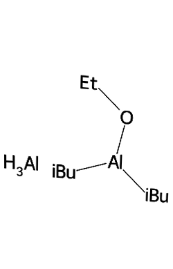 CC[O][Al]([CH](C)CC)[CH](C)CC.[AlH3]